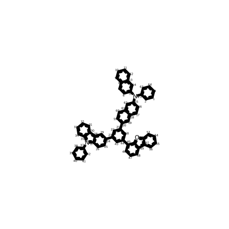 c1ccc(N(c2ccc3ccccc3c2)c2ccc3cc(-c4cc(-c5ccc6c(c5)c5ccccc5n6-c5ccccc5)cc(-c5cccc6c5oc5ccccc56)c4)ccc3c2)cc1